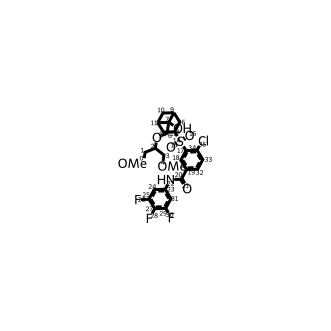 COCC(COC)OCC1(O)C2CC1CC(S(=O)(=O)c1cc(C(=O)Nc3cc(F)c(F)c(F)c3)ccc1Cl)C2